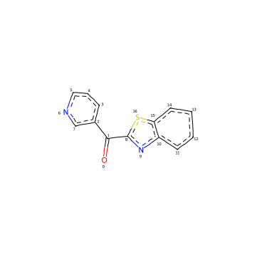 O=C(c1cccnc1)c1nc2ccccc2s1